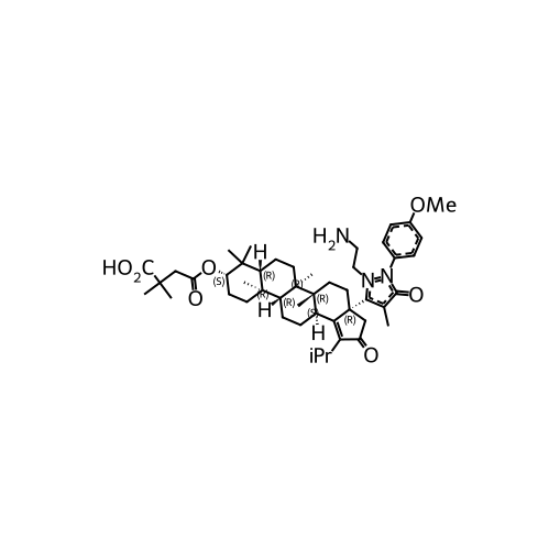 COc1ccc(-n2c(=O)c(C)c([C@@]34CC[C@]5(C)[C@H](CC[C@@H]6[C@@]7(C)CC[C@H](OC(=O)CC(C)(C)C(=O)O)C(C)(C)[C@@H]7CC[C@]65C)C3=C(C(C)C)C(=O)C4)n2CCN)cc1